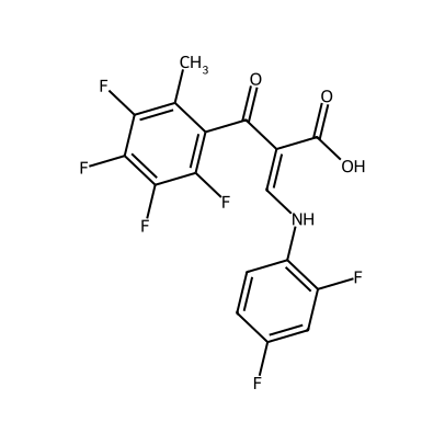 Cc1c(F)c(F)c(F)c(F)c1C(=O)C(=CNc1ccc(F)cc1F)C(=O)O